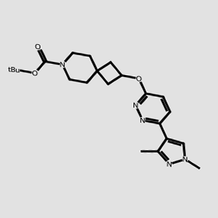 Cc1nn(C)cc1-c1ccc(OC2CC3(CCN(C(=O)OC(C)(C)C)CC3)C2)nn1